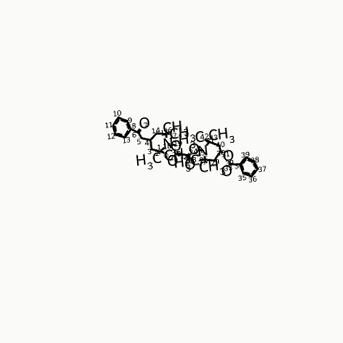 CC1(C)CC(CC(=O)c2ccccc2)CC(C)(C)N1OC(=O)C(=O)ON1C(C)(C)CC(OC(=O)c2ccccc2)CC1(C)C